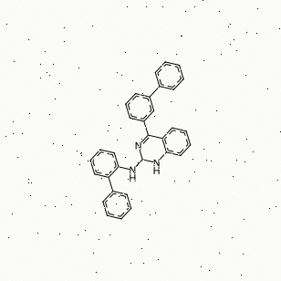 c1ccc(-c2cccc(C3=NC(Nc4ccccc4-c4ccccc4)Nc4ccccc43)c2)cc1